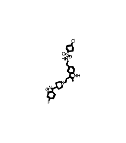 Cc1[nH]c2ccc(CCNS(=O)(=O)c3ccc(Cl)cc3)cc2c1CCN1CCC(c2noc3cc(F)ccc23)CC1